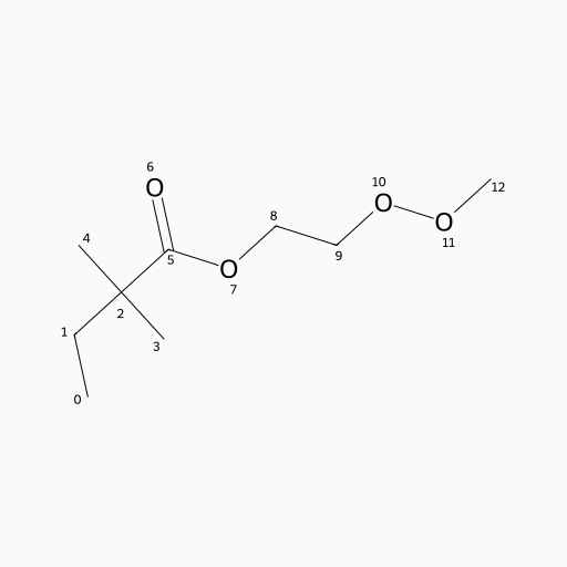 CCC(C)(C)C(=O)OCCOOC